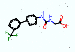 O=C(O)CNC(=O)Nc1ccc(-c2cccc(C(F)(F)F)c2)cc1